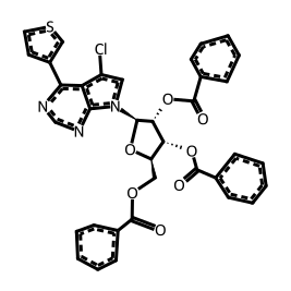 O=C(OC[C@H]1O[C@@H](n2cc(Cl)c3c(-c4ccsc4)ncnc32)[C@H](OC(=O)c2ccccc2)[C@@H]1OC(=O)c1ccccc1)c1ccccc1